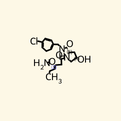 CC/C=C(/CC(=O)N1C[C@H](O)C[C@H]1C(=O)NCC1=CCC=C(Cl)C=C1)ON